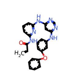 C=CC(=O)Nc1cccc(Nc2cc(Nc3cccc(Oc4ccccc4)c3)ncn2)n1